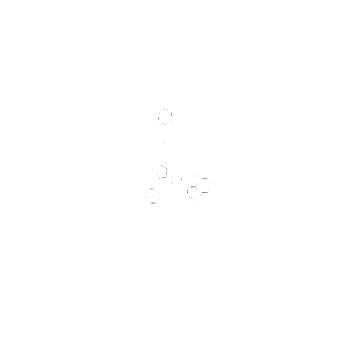 CSc1ccc(CNCCn2cc(NC(=O)c3cnn4cccnc34)c(-c3cc(Cl)ccc3OC(F)F)n2)cc1